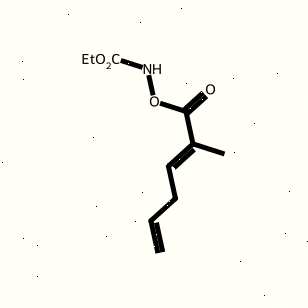 C=CCC=C(C)C(=O)ONC(=O)OCC